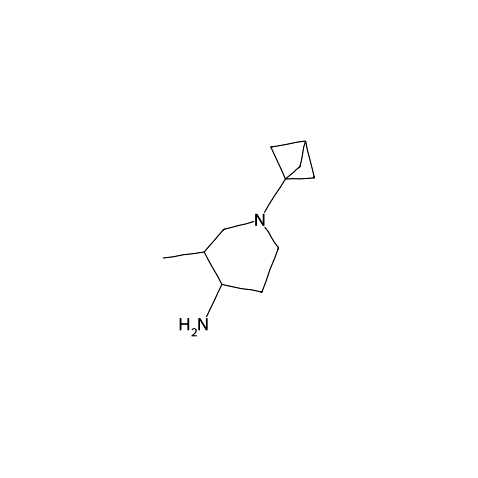 CC1CN(C23CC(C2)C3)CCC1N